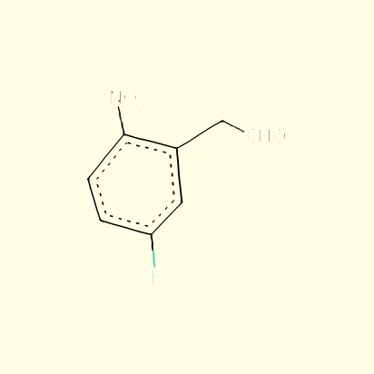 O=CCc1cc(F)ccc1[N+](=O)[O-]